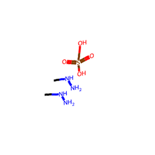 CNN.CNN.O=S(=O)(O)O